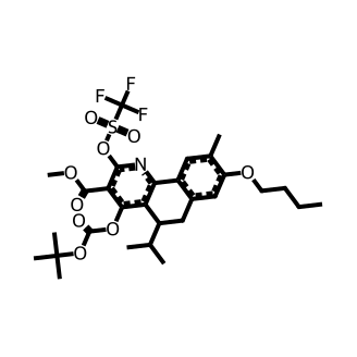 CCCCOc1cc2c(cc1C)-c1nc(OS(=O)(=O)C(F)(F)F)c(C(=O)OC)c(OC(=O)OC(C)(C)C)c1C(C(C)C)C2